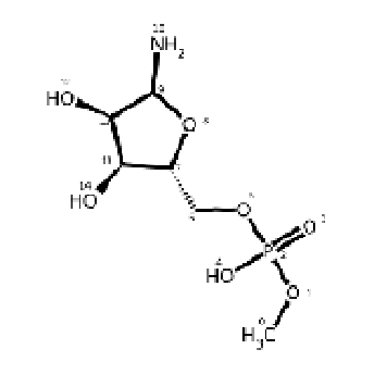 COP(=O)(O)OC[C@H]1OC(N)[C@H](O)[C@@H]1O